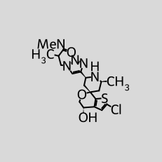 CNC(=O)C(C)Cn1cc([C@@H]2C[C@]3(C[C@H](C)N2)OC[C@@H](O)c2cc(Cl)sc23)nn1